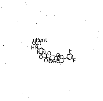 CCCCCOC(=O)Nc1ccn([C@@H]2O[C@H](COP3(=O)OCCC(c4cc(F)cc(F)c4)O3)[C@@H](OC(C)=O)[C@@]2(C)OC(C)=O)c(=O)n1